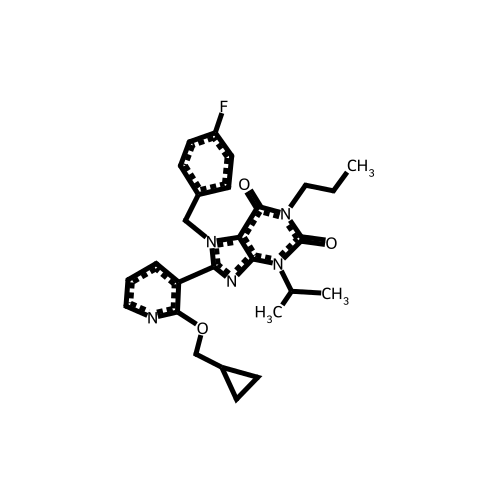 CCCn1c(=O)c2c(nc(-c3cccnc3OCC3CC3)n2Cc2ccc(F)cc2)n(C(C)C)c1=O